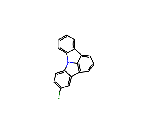 Clc1ccc2c(c1)c1cccc3c4ccccc4n2c31